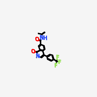 CC(C)NC(=O)c1ccc2c(-c3ccc(C(F)(F)F)cc3)cn(C)c(=O)c2c1